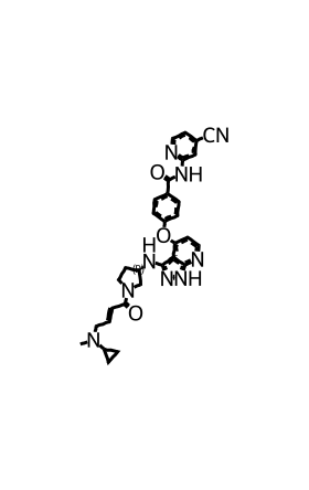 CN(CC=CC(=O)N1CC[C@@H](Nc2n[nH]c3nccc(Oc4ccc(C(=O)Nc5cc(C#N)ccn5)cc4)c23)C1)C1CC1